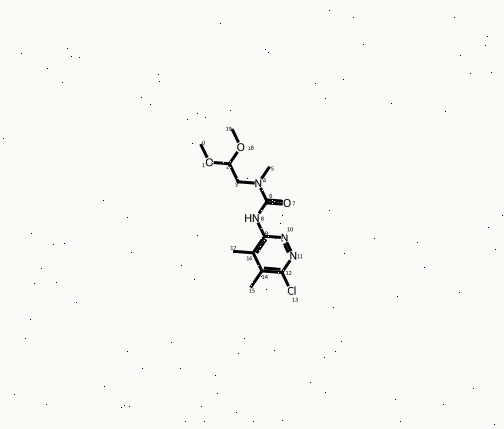 COC(CN(C)C(=O)Nc1nnc(Cl)c(C)c1C)OC